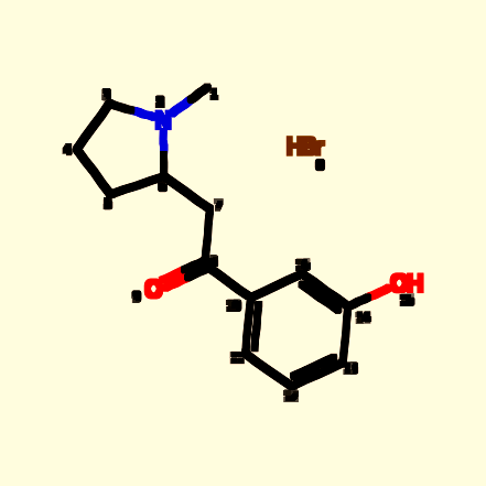 Br.CN1CCCC1CC(=O)c1cccc(O)c1